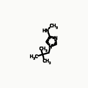 CNc1cn(CC(C)(C)C)cn1